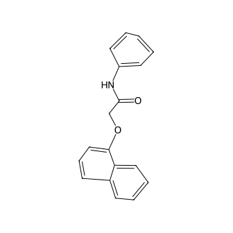 O=C(COc1cccc2ccccc12)Nc1ccccc1